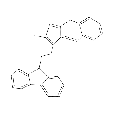 CC1=C(CCC2c3ccccc3-c3ccccc32)C2=Cc3ccccc3CC2=C1